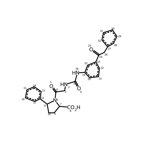 O=C(NCC(=O)N1C(C(=O)O)CCC1c1ccccc1)Nc1cccc(C(=O)Cc2ccccc2)c1